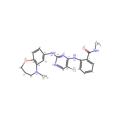 CNC(=O)c1ccccc1Nc1nc(Nc2ccc3c(c2)N(C)CCCO3)ncc1Cl